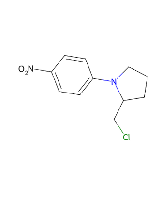 O=[N+]([O-])c1ccc(N2CCCC2CCl)cc1